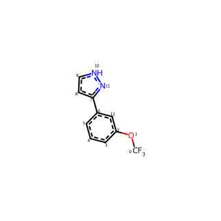 FC(F)(F)Oc1cccc(-c2cc[nH]n2)c1